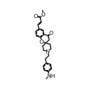 CNc1ccc(CCN2CCC3(CC2)CC(=O)c2cc(C=CC(=O)OC)ccc2O3)cc1